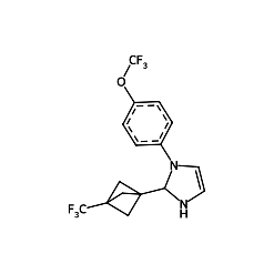 FC(F)(F)Oc1ccc(N2C=CNC2C23CC(C(F)(F)F)(C2)C3)cc1